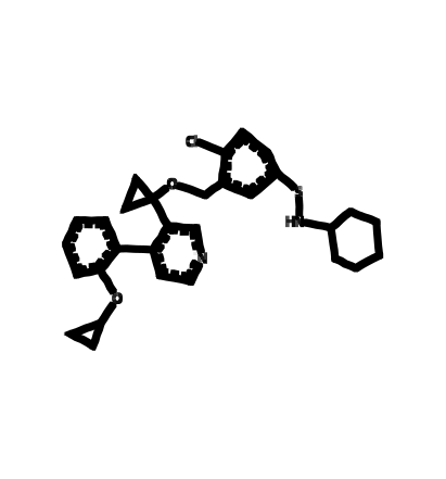 Clc1ccc(SNC2CCCCC2)cc1COC1(c2cnccc2-c2ccccc2OC2CC2)CC1